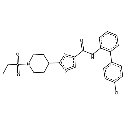 CCS(=O)(=O)N1CCC(c2nc(C(=O)Nc3ccccc3-c3ccc(Cl)cc3)cs2)CC1